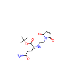 CC(C)(C)OC(=O)[C@H](CCC(N)=O)NCCN1C(=O)C=CC1=O